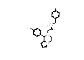 O=C(CN1CCn2cccc2C1c1ccc(Cl)cc1)NCc1ccc(F)cc1